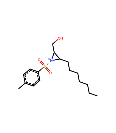 CCCCCCCC1C(CO)[N@@]1S(=O)(=O)c1ccc(C)cc1